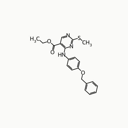 CCOC(=O)c1cnc(SC)nc1Nc1ccc(OCc2ccccc2)cc1